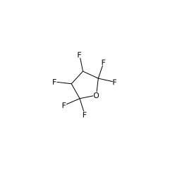 FC1C(F)C(F)(F)OC1(F)F